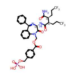 NC(=O)[C@@H](CCC(F)(F)F)[C@@H](CCC(F)(F)F)C(=O)N[C@H]1N=C(c2ccccc2)c2ccccc2N(COC(=O)c2ccc(COP(=O)(O)O)cc2)C1=O